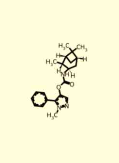 C[C@@H]1[C@H]2C[C@@H](C[C@H]1NC(=O)Oc1cnn(C)c1-c1ccccc1)C2(C)C